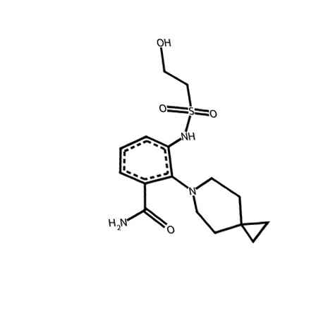 NC(=O)c1cccc(NS(=O)(=O)CCO)c1N1CCC2(CC1)CC2